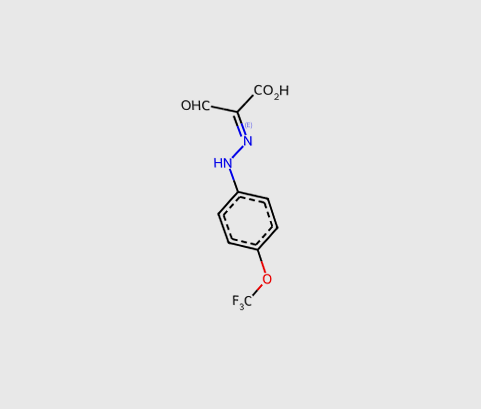 O=C/C(=N\Nc1ccc(OC(F)(F)F)cc1)C(=O)O